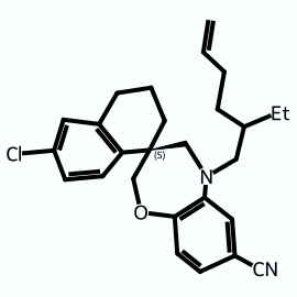 C=CCCC(CC)CN1C[C@@]2(CCCc3cc(Cl)ccc32)COc2ccc(C#N)cc21